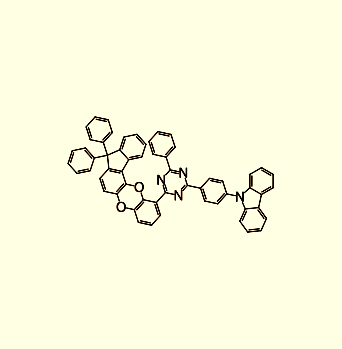 c1ccc(-c2nc(-c3ccc(-n4c5ccccc5c5ccccc54)cc3)nc(-c3cccc4c3Oc3c(ccc5c3-c3ccccc3C5(c3ccccc3)c3ccccc3)O4)n2)cc1